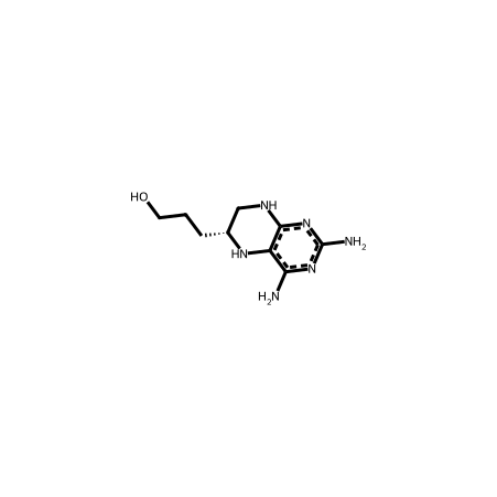 Nc1nc(N)c2c(n1)NC[C@@H](CCCO)N2